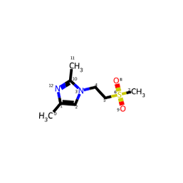 Cc1cn(CCS(C)(=O)=O)c(C)n1